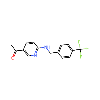 CC(=O)c1ccc(NCc2ccc(C(F)(F)F)cc2)nc1